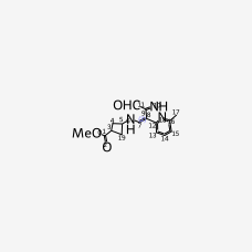 COC(=O)C1CC(N/C=C(\C(=N)C=O)c2cccc(C)n2)C1